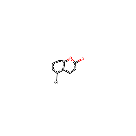 [2H]c1cccc2oc(=O)ccc12